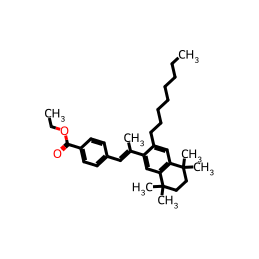 CCCCCCCCc1cc2c(cc1/C(C)=C/c1ccc(C(=O)OCC)cc1)C(C)(C)CCC2(C)C